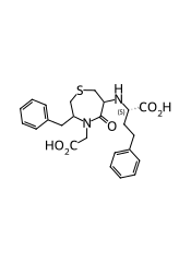 O=C(O)CN1C(=O)C(N[C@@H](CCc2ccccc2)C(=O)O)CSCC1Cc1ccccc1